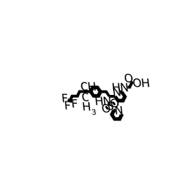 CC(C)(CCCC(F)(F)F)c1ccc(CC(NS(=O)(=O)c2ccccn2)c2cccc(NCC(=O)O)n2)cc1